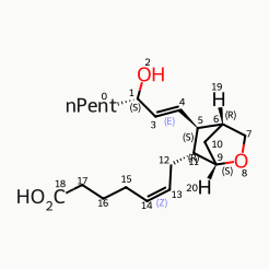 CCCCC[C@H](O)/C=C/[C@H]1[C@@H]2CO[C@@H](C2)[C@@H]1C/C=C\CCCC(=O)O